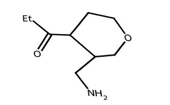 CCC(=O)C1CCOCC1CN